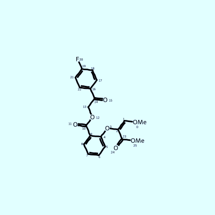 COC=C(Oc1ccccc1C(=O)OCC(=O)c1ccc(F)cc1)C(=O)OC